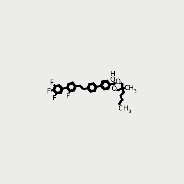 CCCCCC1(C)COC(O)(c2ccc(-c3ccc(CCc4ccc(-c5cc(F)c(F)c(F)c5)c(F)c4)cc3)cc2)OC1